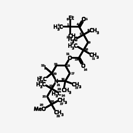 CCC(C)(C)C(=O)C(C)(C)CC(C)(C)C(=O)OC1CC(C)(C)N(C(C)(C)CC(C)(C)OC)C(C)(I)C1